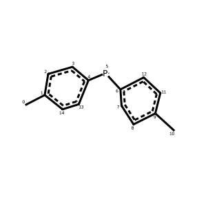 Cc1ccc([P]c2ccc(C)cc2)cc1